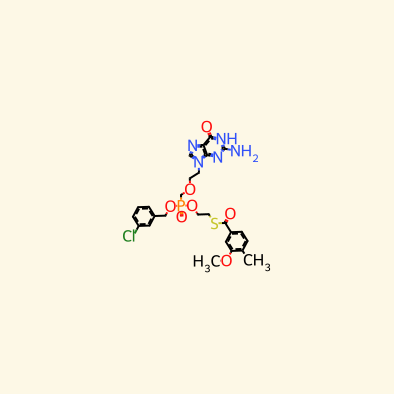 COc1cc(C(=O)SCCOP(=O)(COCCn2cnc3c(=O)[nH]c(N)nc32)OCc2cccc(Cl)c2)ccc1C